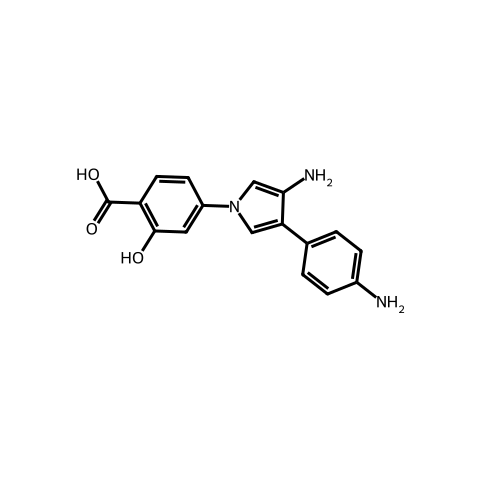 Nc1ccc(-c2cn(-c3ccc(C(=O)O)c(O)c3)cc2N)cc1